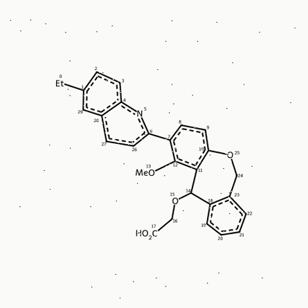 CCc1ccc2nc(-c3ccc4c(c3OC)C(OCC(=O)O)c3ccccc3CO4)ccc2c1